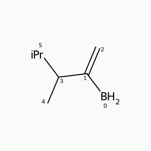 BC(=C)C(C)C(C)C